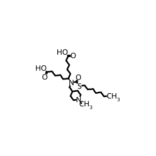 CCCCCCCSC(=O)N(CC1CCN(C)CC1)C(CCCCC(=O)O)CCCCC(=O)O